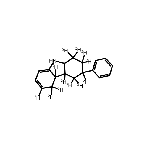 [2H]C1=CC=C2NC3C([2H])([2H])C([2H])([2H])C([2H])(c4ccccc4)C([2H])([2H])C3([2H])C2([2H])C1([2H])[2H]